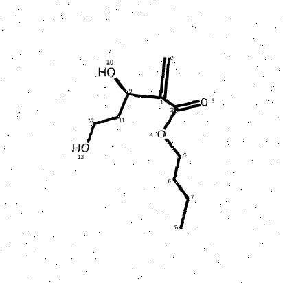 C=C(C(=O)OCCCC)C(O)CCO